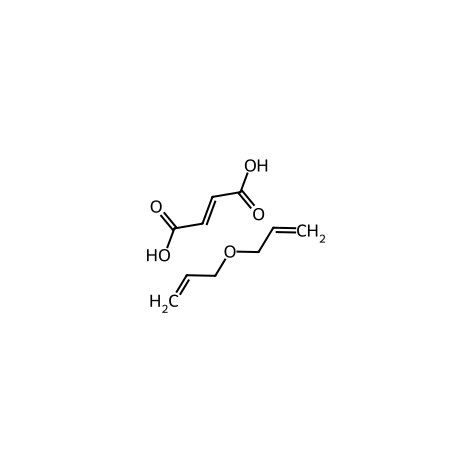 C=CCOCC=C.O=C(O)C=CC(=O)O